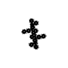 c1ccc(-c2ccc(N(c3ccc4c(-c5ccccc5)c(-c5ccccc5)sc4c3)c3cc4c5ccccc5c(N(c5ccc(-c6ccccc6)cc5)c5ccc6c(-c7ccccc7)c(-c7ccccc7)sc6c5)cc4c4ccccc34)cc2)cc1